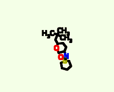 CC(C)(C)CC1CCC(N=S2(=O)CCCCC2)CO1